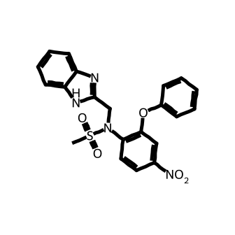 CS(=O)(=O)N(Cc1nc2ccccc2[nH]1)c1ccc([N+](=O)[O-])cc1Oc1ccccc1